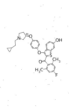 Cc1cc(F)cc(C)c1C(=O)c1sc2cc(O)ccc2c1Oc1ccc(O[C@@H]2CCN(CCC3CC3)C2)cc1